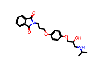 CC(C)NCC(O)COc1ccc(OCCCN2C(=O)c3ccccc3C2=O)cc1